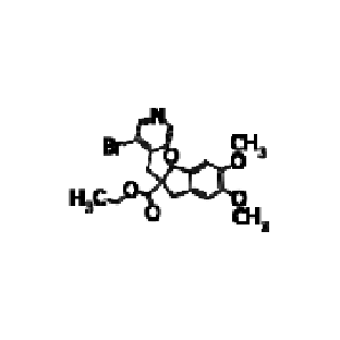 CCOC(=O)C1(Cc2ccncc2Br)Cc2cc(OC)c(OC)cc2C1=O